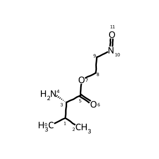 CC(C)[C@H](N)C(=O)OCCN=O